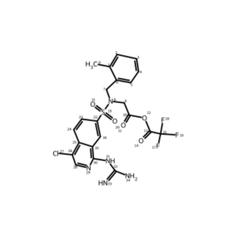 Cc1ccccc1CN(CC(=O)OC(=O)C(F)(F)F)S(=O)(=O)c1ccc2c(Cl)cnc(NC(=N)N)c2c1